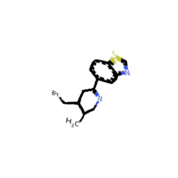 CC(C)CC1CC(c2ccc3scnc3c2)=NCC1C